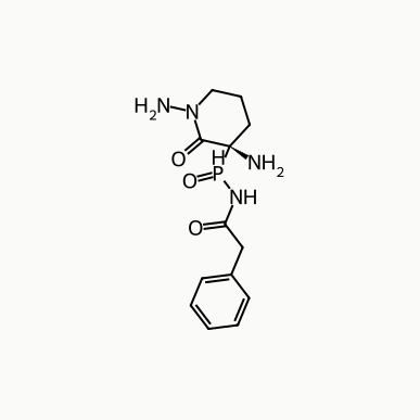 NN1CCC[C@](N)([PH](=O)NC(=O)Cc2ccccc2)C1=O